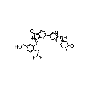 CN1CC[C@@H](Nc2ncc(-c3ccc4c(=O)n(C)n(Cc5cc(CO)ccc5OC(F)F)c4c3)cn2)CC1=O